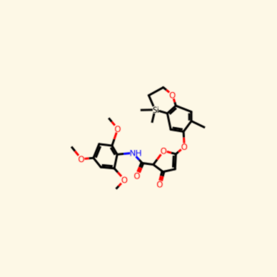 COc1cc(OC)c(NC(=O)C2OC(Oc3cc4c(cc3C)OCC[Si]4(C)C)=CC2=O)c(OC)c1